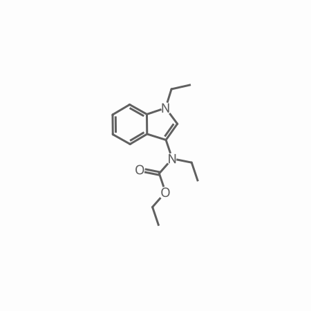 CCOC(=O)N(CC)c1cn(CC)c2ccccc12